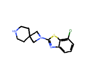 Clc1cccc2nc(N3CC4(CCNCC4)C3)sc12